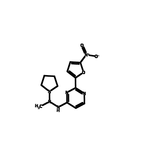 CN(Nc1ccnc(-c2ccc([N+](=O)[O-])o2)n1)N1CCCC1